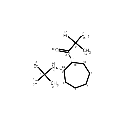 CCC(C)(C)N[C@H]1CCCCC[C@H]1C(=O)C(C)(C)CC